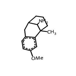 COc1ccc2c(c1)C1(C)CCCC(C2)C1N